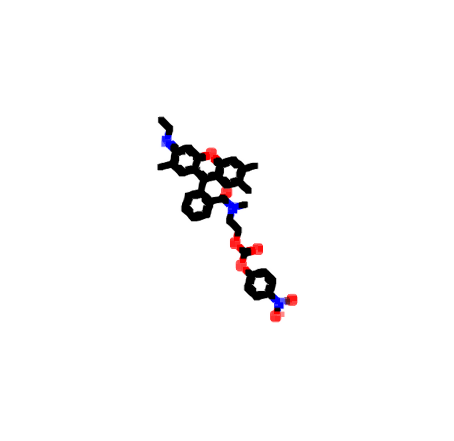 CC/N=c1\cc2oc3cc(C)c(C)cc3c(-c3ccccc3C(=O)N(C)CCOC(=O)Oc3ccc([N+](=O)[O-])cc3)c-2cc1C